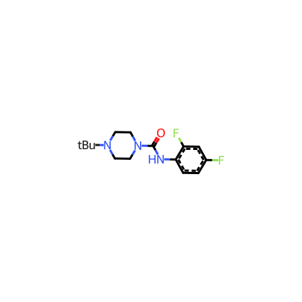 CC(C)(C)N1CCN(C(=O)Nc2ccc(F)cc2F)CC1